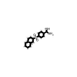 N=C(N)c1ccc(S(=O)(=O)c2ccc3ccccc3c2)cc1